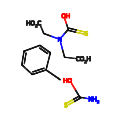 Cc1ccccc1.NC(O)=S.O=C(O)CN(CC(=O)O)C(O)=S